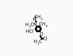 C=C(Cl)COc1ccc(N(C)C=NC)c(C)c1.Cl